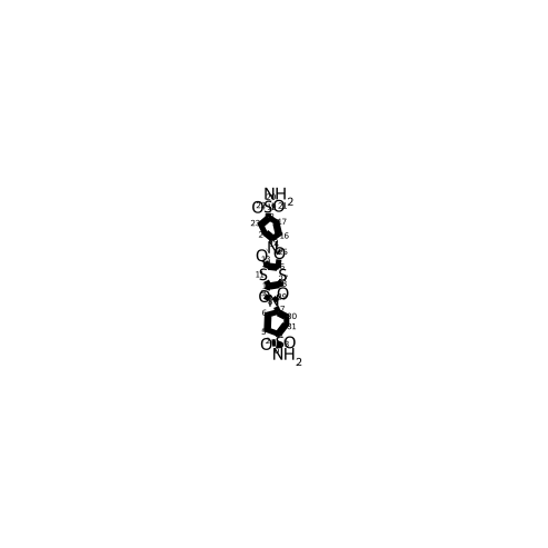 NS(=O)(=O)c1ccc(-n2oc3sc4on(-c5ccc(S(N)(=O)=O)cc5)oc4sc3o2)cc1